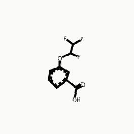 O=C(O)c1cccc(OC(F)C(F)F)c1